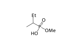 CCC(C)P(=O)(O)OC